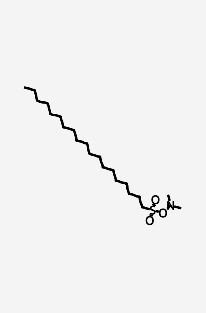 CCCCCCCCCCCCCCCCCCCS(=O)(=O)ON(C)C